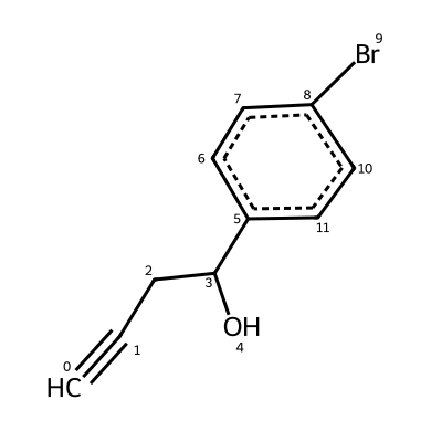 C#CCC(O)c1ccc(Br)cc1